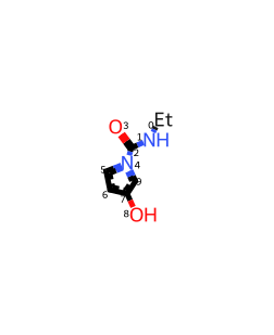 CCNC(=O)n1ccc(O)c1